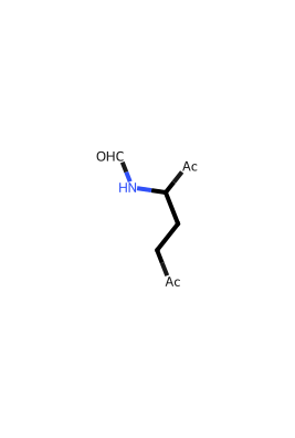 CC(=O)CCC(NC=O)C(C)=O